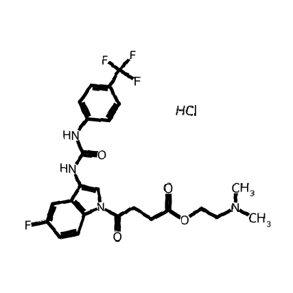 CN(C)CCOC(=O)CCC(=O)n1cc(NC(=O)Nc2ccc(C(F)(F)F)cc2)c2cc(F)ccc21.Cl